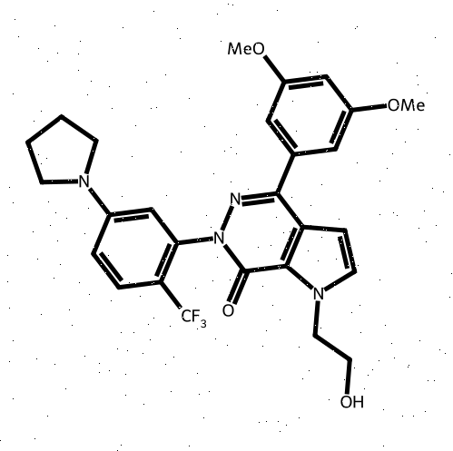 COc1cc(OC)cc(-c2nn(-c3cc(N4CCCC4)ccc3C(F)(F)F)c(=O)c3c2ccn3CCO)c1